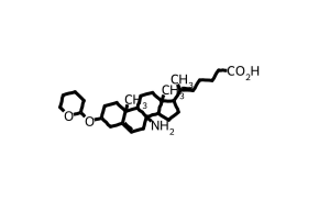 C/C(=C\CCCC(=O)O)C1CCC2C1(C)CCC1C3(C)CCC(OC4CCCCO4)CC3=CCC12N